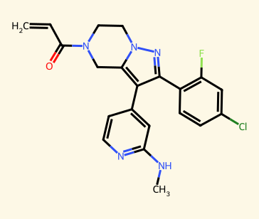 C=CC(=O)N1CCn2nc(-c3ccc(Cl)cc3F)c(-c3ccnc(NC)c3)c2C1